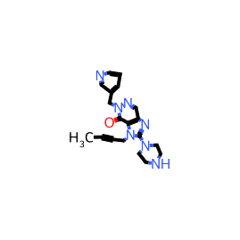 CC#CCn1c(N2CCNCC2)nc2cnn(Cc3cccnc3)c(=O)c21